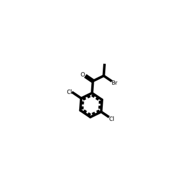 CC(Br)C(=O)c1cc(Cl)ccc1Cl